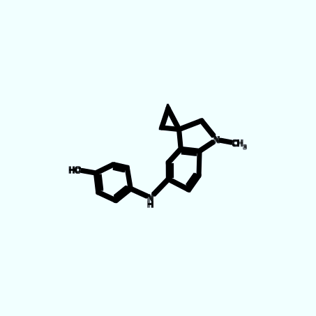 CN1CC2(CC2)c2cc(Nc3ccc(O)cc3)ccc21